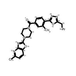 Cc1cc(C(=O)N2CCN(c3nc4nc(Cl)ccc4o3)CC2)ccc1-c1nnc(CC(C)C)o1